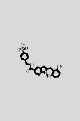 CCS(=O)(=O)c1ccc(CNC(=O)c2ccc3c(c2)cc(Cc2ccccc2C#N)n3C(C)C)cc1